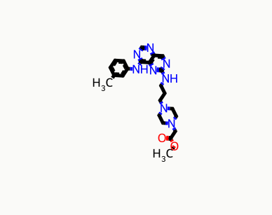 COC(=O)CN1CCN(CCCNc2ncc3ncnc(Nc4cccc(C)c4)c3n2)CC1